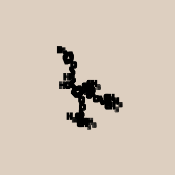 C[Si](C)(C)CCOCOc1ccc([C@@H](O)CNCCOc2ccc(Br)cc2)cc1N(OCOCC[Si](C)(C)C)S(C)(=O)=O